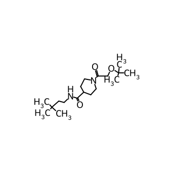 CC(C)(C)CCNC(=O)C1CCN(C(=O)COC(C)(C)C)CC1